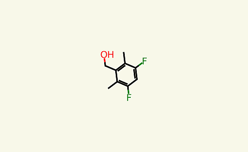 Cc1c(F)cc(F)c(C)c1CO